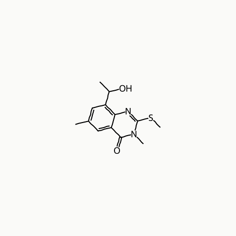 CSc1nc2c(C(C)O)cc(C)cc2c(=O)n1C